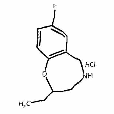 CCC1CNCc2cc(F)ccc2O1.Cl